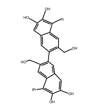 CC(C)c1c(O)c(O)cc2cc(-c3cc4cc(O)c(O)c(C(C)C)c4cc3CO)c(CO)cc12